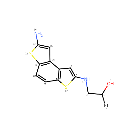 CCC(O)CNc1cc2c(ccc3sc(N)cc32)s1